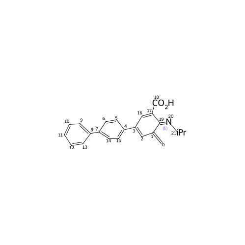 C=C1C=C(c2ccc(-c3ccccc3)cc2)C=C(C(=O)O)/C1=N/C(C)C